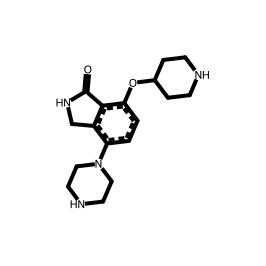 O=C1NCc2c(N3CCNCC3)ccc(OC3CCNCC3)c21